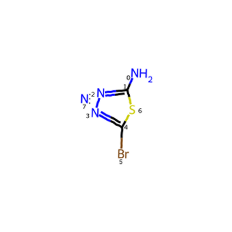 Nc1nnc(Br)s1.[N]